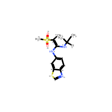 CCC(C)(C)N/C(Nc1ccc2ncsc2c1)=C(\C#N)S(C)(=O)=O